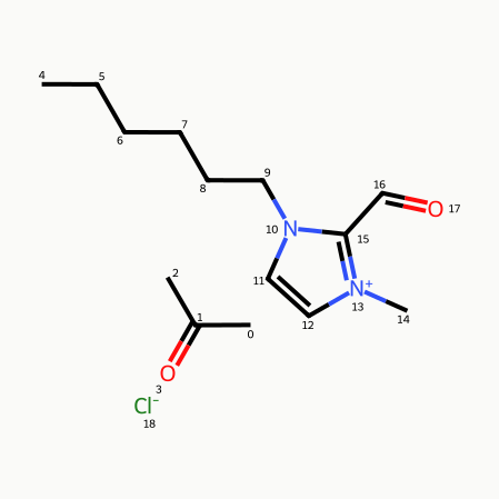 CC(C)=O.CCCCCCn1cc[n+](C)c1C=O.[Cl-]